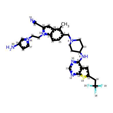 Cc1c(CN2CCC(Nc3ncnc4sc(CC(F)(F)F)cc34)CC2)ccc2c1cc(C#N)n2CCn1ccc(N)c1